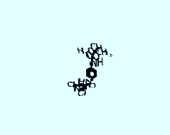 CC(C)(C)OC(=O)NC[C@H]1CC[C@H](CNC(=O)c2cc(Cl)nc(Cl)c2)CC1